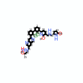 COc1nc(-c2cccc(-c3cccc(-c4cc5ncc(CNC[C@H](C)O)cc5cn4)c3Cl)c2Cl)ccc1CNC[C@@H]1CCC(=O)N1